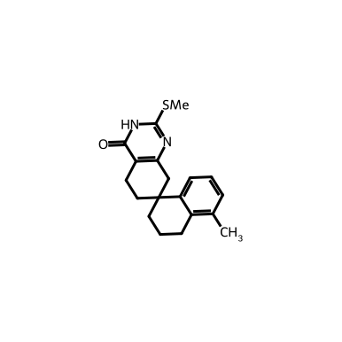 CSc1nc2c(c(=O)[nH]1)CCC1(CCCc3c(C)cccc31)C2